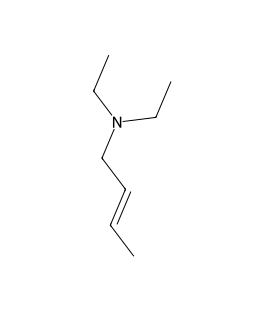 C/C=C/CN(CC)CC